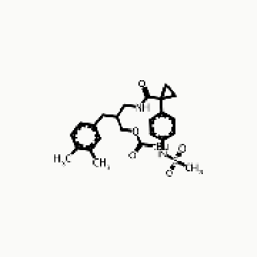 Cc1ccc(CC(CNC(=O)C2(c3ccc(NS(C)(=O)=O)cc3)CC2)COC(=O)C(C)(C)C)cc1C